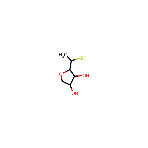 CC(S)C1OCC(O)C1O